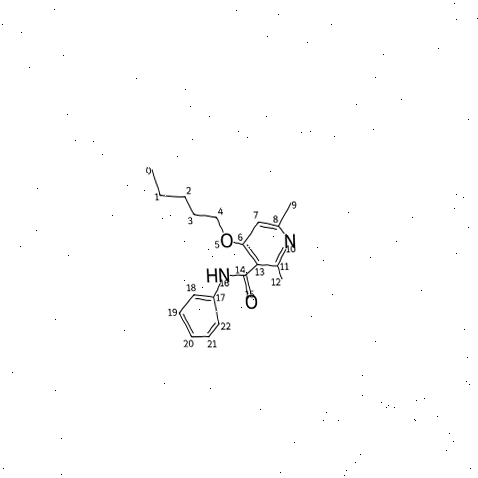 CCCCCOc1cc(C)nc(C)c1C(=O)Nc1ccccc1